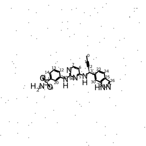 CC#C[C@H](Nc1ccnc(Nc2cccc(S(N)(=O)=O)c2)n1)c1ccc2cn[nH]c2c1